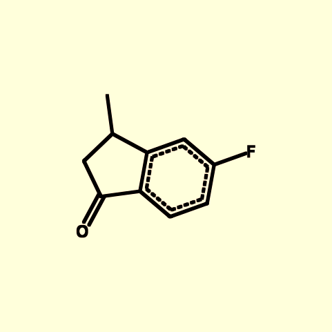 CC1CC(=O)c2ccc(F)cc21